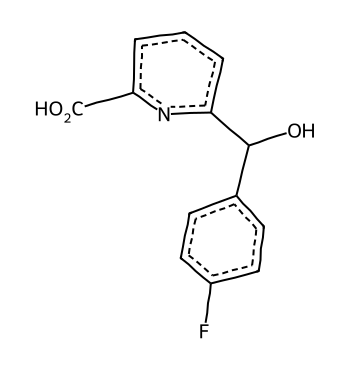 O=C(O)c1cccc(C(O)c2ccc(F)cc2)n1